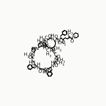 CC(C)CC1NC(=O)[C@H](CC(C)C)N(C)C(=O)CNC(=O)[C@H](Cc2ccccc2)NC(=O)[C@H](C(C)C)N(C)C(=O)[C@H](Cc2ccccc2)NC(=O)[C@H](C)N(C)C(=O)CCN(C)[C@@H]2CCC[C@@H](C(=O)N(C)[C@@H](Cc3ccccc3)C(=O)CC[C@@H](C)C(=O)N3CCCCC3)NC(=O)[C@H](C)N(C)C(=O)[C@H](C2C)N(C)C1=O